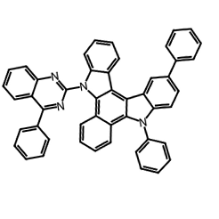 c1ccc(-c2ccc3c(c2)c2c4c5ccccc5n(-c5nc(-c6ccccc6)c6ccccc6n5)c4c4ccccc4c2n3-c2ccccc2)cc1